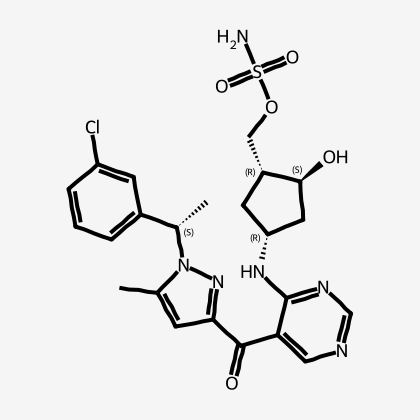 Cc1cc(C(=O)c2cncnc2N[C@@H]2C[C@H](COS(N)(=O)=O)[C@@H](O)C2)nn1[C@@H](C)c1cccc(Cl)c1